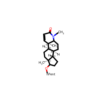 CCCCCOC1CC[C@H]2[C@@H]3CCC4N(C)C(=O)C=C[C@]4(C)[C@@H]3CC[C@]12C